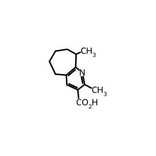 Cc1nc2c(cc1C(=O)O)CCCCC2C